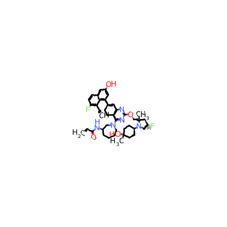 C#Cc1c(F)ccc2cc(O)cc(C3=Cc4nc(OC[C@]5(C)C[C@@H](F)CN5C5CCC(C)(O)CC5)nc(N5CCCCC(NC(=O)C=C)C5)c4CC3)c12